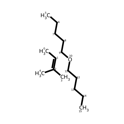 CC=C(C)C.CCCCCOCCCCC